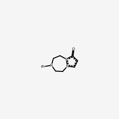 CC(C)N1CCn2ccc(=O)n2CC1